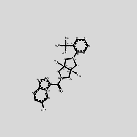 O=C(c1nnc2ccc(Cl)cn12)N1C[C@@H]2CN(c3ccccc3C(F)(F)F)C[C@@H]2C1